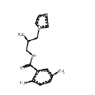 Cc1ccc(N)c(C(=O)NCC(C)Cn2ccnc2)c1